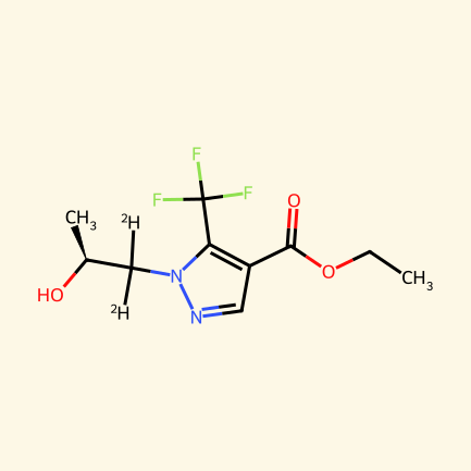 [2H]C([2H])([C@H](C)O)n1ncc(C(=O)OCC)c1C(F)(F)F